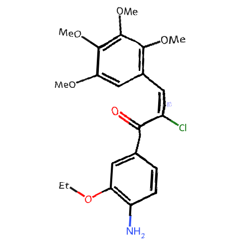 CCOc1cc(C(=O)/C(Cl)=C\c2cc(OC)c(OC)c(OC)c2OC)ccc1N